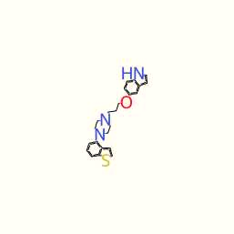 c1cc(N2CCN(CCCOc3ccc4[nH]ccc4c3)CC2)c2ccsc2c1